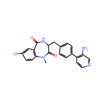 CN1C(=O)C(Cc2ccc(-c3ccncc3N)cc2)NC(=O)c2cc(Cl)ccc21